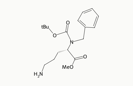 COC(=O)[C@H](CCCN)N(Cc1ccccc1)C(=O)OC(C)(C)C